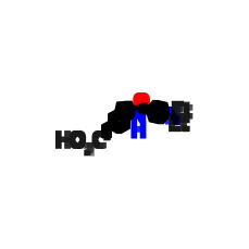 CCN(CC)c1ccc(C(=O)NC2CCc3cc(/C=C/C(=O)O)ccc32)cc1